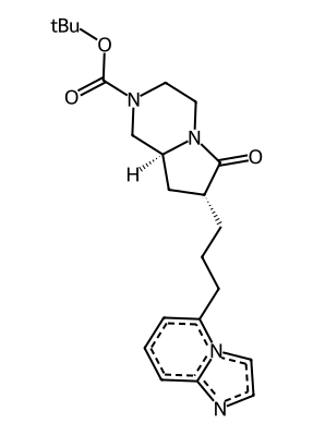 CC(C)(C)OC(=O)N1CCN2C(=O)[C@H](CCCc3cccc4nccn34)C[C@H]2C1